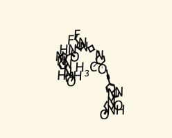 C[C@H]1CN(C[C@H]2C[C@H](n3cc(NC(=O)c4cnn5ccc(N6C[C@H]7C[C@@H]6CO7)nc45)c(C(F)F)n3)C2)CC[C@@H]1OCC#Cc1ccn2c(N3CCC(=O)NC3=O)cnc2c1